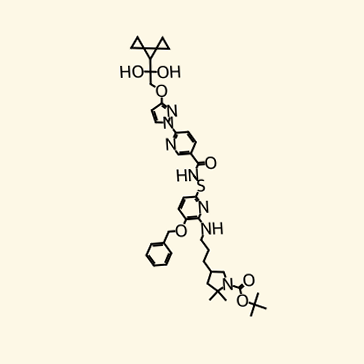 CC(C)(C)OC(=O)N1CC(CCCNc2nc(SNC(=O)c3ccc(-n4ccc(OCC(O)(O)C5C6(CC6)C56CC6)n4)nc3)ccc2OCc2ccccc2)CC1(C)C